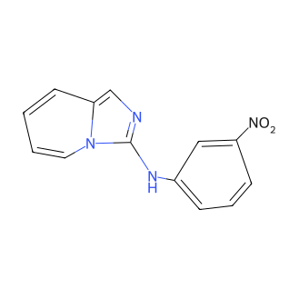 O=[N+]([O-])c1cccc(Nc2ncc3ccccn23)c1